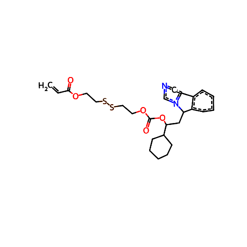 C=CC(=O)OCCSSCCOC(=O)OC(CC1c2ccccc2-c2cncn21)C1CCCCC1